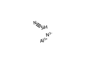 N#[SiH].[Al+3].[N-3]